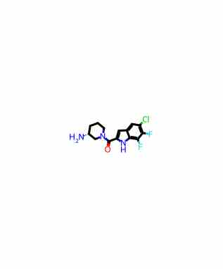 N[C@@H]1CCCN(C(=O)c2cc3cc(Cl)c(F)c(F)c3[nH]2)C1